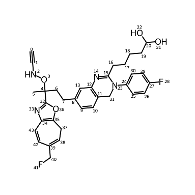 C#CNOC(C)(CCc1ccc2c(c1)N=C(CCCCC(O)O)N(c1ccc(F)cc1)C2)c1nc2c(o1)CC=C(CF)C=C2